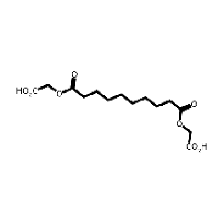 O=C(O)COC(=O)CCCCCCCCC(=O)OCC(=O)O